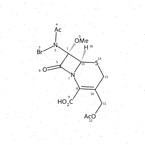 CO[C@@]1(N(Br)C(C)=O)C(=O)N2C(C(=O)O)=C(COC(C)=O)CS[C@@H]21